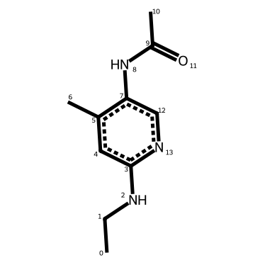 CCNc1cc(C)c(NC(C)=O)cn1